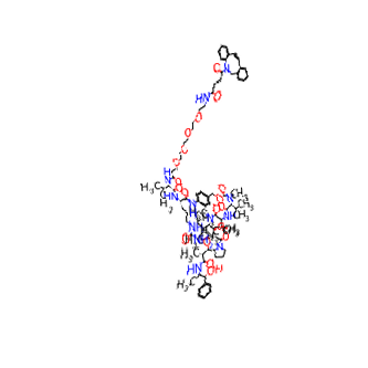 CC[C@H](C)[C@@H]([C@@H](CC(=O)N1CCC[C@H]1[C@H](OC)[C@@H](C)C(=O)N[C@H](C)[C@@H](O)c1ccccc1)OC)N(C)C(=O)[C@@H](NC(=O)[C@H](C(C)C)N(C)C(=O)OCc1ccc(NC(=O)[C@H](CCCNC(N)=O)NC(=O)[C@@H](NC(=O)CCOCCOCCOCCOCCNC(=O)CCC(=O)N2Cc3ccccc3C#Cc3ccccc32)C(C)C)cc1)C(C)C